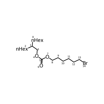 CCCCCCC(CCCCCC)COC(=O)OCCCCCCBr